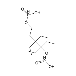 CCC(CC)(CCO[PH](=O)O)C(CC)(CC)O[PH](=O)O